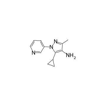 Cc1nn(-c2cccnc2)c(C2CC2)c1N